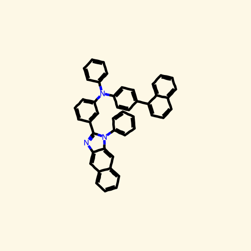 c1ccc(N(c2ccc(-c3cccc4ccccc34)cc2)c2cccc(-c3nc4cc5ccccc5cc4n3-c3ccccc3)c2)cc1